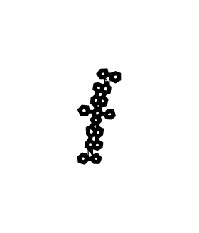 c1ccc(-c2c3cc4c(cc3c(-c3ccccc3)c3c5ccc6c7ccc(-n8c9ccccc9c9ccccc98)c8cccc(c9ccc(c23)c5c96)c87)c2ccc3c5cccc6c(-n7c8ccccc8c8ccccc87)ccc(c7ccc4c2c73)c65)cc1